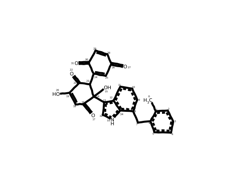 Cc1ccccc1Cc1cccc2c(C3(O)C(=O)C=C(O)C(=O)C3C3=CC(=O)C=CC3=O)c[nH]c12